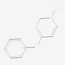 ON1C=CC(Oc2ccccc2)=NC1